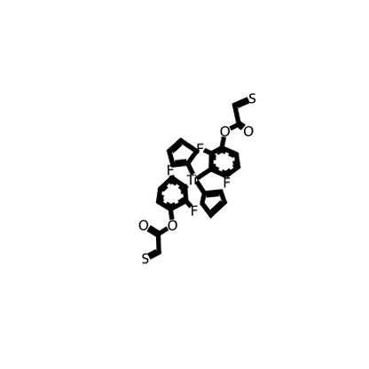 O=C(C=S)Oc1ccc(F)[c]([Ti]([C]2=CC=CC2)([C]2=CC=CC2)[c]2c(F)ccc(OC(=O)C=S)c2F)c1F